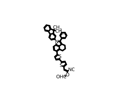 [C-]#[N+]/C(=C\c1ccc(-c2ccc(-c3ccc4c5c3CCCc5c(-c3ccccc3)n4-c3ccc4c(c3)C(C)(C)c3ccccc3-4)s2)s1)OC=O